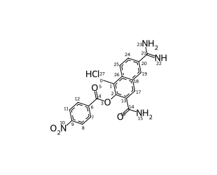 Cc1c(OC(=O)c2ccc([N+](=O)[O-])cc2)c(C(N)=O)cc2cc(C(=N)N)ccc12.Cl